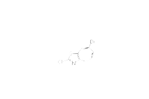 Clc1nc2c(s1)C=C(Br)C=CC2